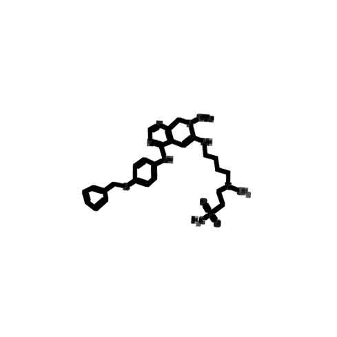 CON1Cc2ncnc(Nc3ccc(OCc4ccccc4)cc3)c2C=C1NCCCCN(C)CCS(C)(=O)=O